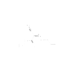 COC(=O)/C(C#N)=N\OCCF